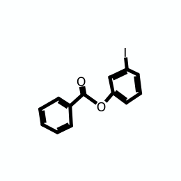 O=C(Oc1cccc(I)c1)c1ccccc1